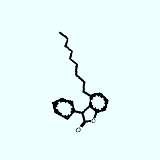 CCCCCCCCCc1cccc2c1C(c1ccccc1)C(=O)O2